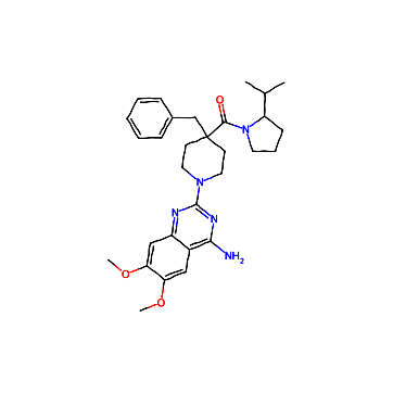 COc1cc2nc(N3CCC(Cc4ccccc4)(C(=O)N4CCCC4C(C)C)CC3)nc(N)c2cc1OC